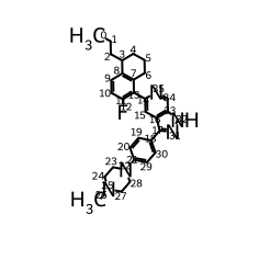 CCCC1CCCc2c1ccc(F)c2-c1cc2c(-c3ccc(N4CCN(C)CC4)cc3)n[nH]c2cn1